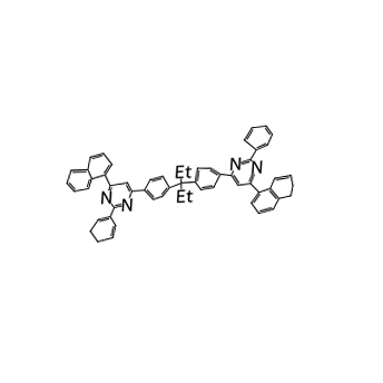 CCC(CC)(c1ccc(-c2cc(-c3cccc4ccccc34)nc(C3=CCCC=C3)n2)cc1)c1ccc(-c2cc(-c3cccc4c3C=CCC4)nc(-c3ccccc3)n2)cc1